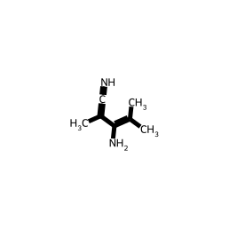 CC(=C=N)C(N)=C(C)C